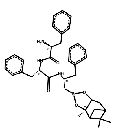 CC1(C)C2CC3OB(C[C@@H](Cc4ccccc4)NC(=O)[C@H](Cc4ccccc4)NC(=O)[C@@H](N)Cc4ccccc4)O[C@]3(C)C1C2